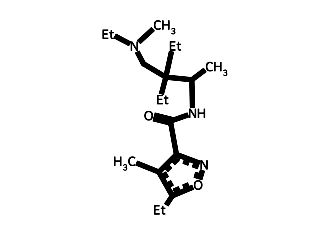 CCc1onc(C(=O)NC(C)C(CC)(CC)CN(C)CC)c1C